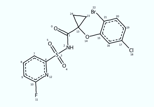 O=C(NS(=O)(=O)c1cccc(F)n1)C1(Oc2cc(Cl)ccc2Br)CC1